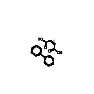 O=C(O)/C=C\C(=O)O.c1ccc(-c2cccnc2)cc1